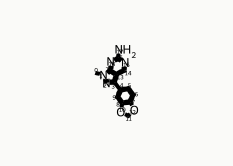 Cn1nc(-c2ccc3c(c2)OCO3)c2cnc(N)nc21